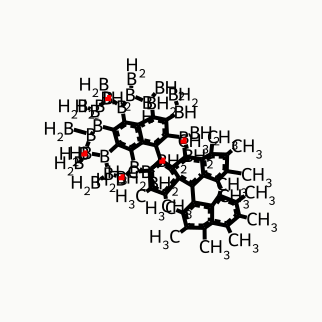 BBB(B)B(B(B)B)c1c(B(B(B)B)B(B)B)c(B(BB)B(B)B)c(B(B)B(B)B)c2c(-c3c(C)c(C)c(C)c4c(-c5c(C)c(C)c(C)c6c(C)c(C)c(C)c(C)c56)c5c(C)c(C)c(C)c(C)c5c(C)c34)c(B(B)B)c(BB)c(B)c12